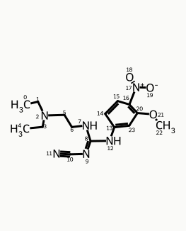 CCN(CC)CCN/C(=N\C#N)Nc1ccc([N+](=O)[O-])c(OC)c1